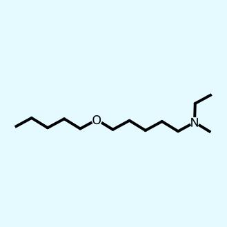 CCCCCOCCCCCN(C)CC